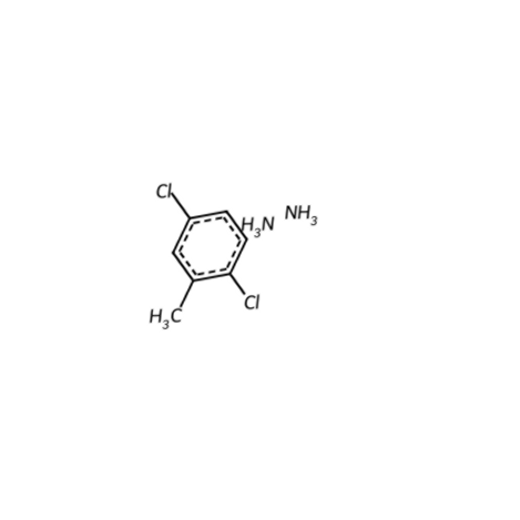 Cc1cc(Cl)ccc1Cl.N.N